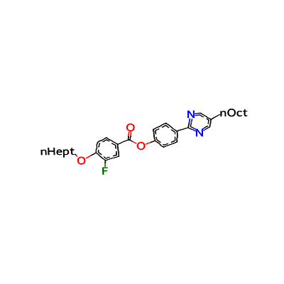 CCCCCCCCc1cnc(-c2ccc(OC(=O)c3ccc(OCCCCCCC)c(F)c3)cc2)nc1